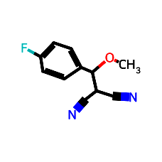 COC(c1ccc(F)cc1)C(C#N)C#N